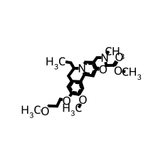 CCC1Cc2cc(OCCCOC)c(OC)cc2-c2cc(=O)c(CN(C)CC(=O)OC)cn21